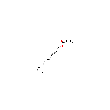 C=CCCCC=CCOC(C)=O